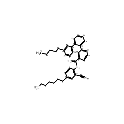 CCCCCCCc1ccc(OC(=O)c2cccc(-c3ccccc3-c3cccc(CCCCC)c3)c2)c(C#N)c1